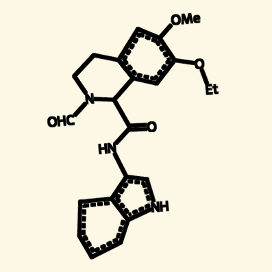 CCOc1cc2c(cc1OC)CCN(C=O)C2C(=O)Nc1c[nH]c2ccccc12